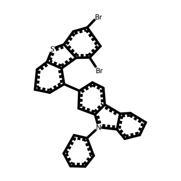 Brc1cc(Br)c2c(c1)sc1cccc(-c3ccc4c5ccccc5n(-c5ccccc5)c4c3)c12